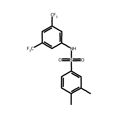 Cc1ccc(S(=O)(=O)Nc2cc(C(F)(F)F)cc(C(F)(F)F)c2)cc1C